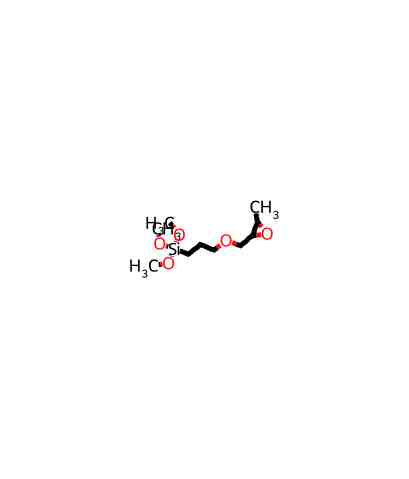 CO[Si](CCCOCC1OC1C)(OC)OC